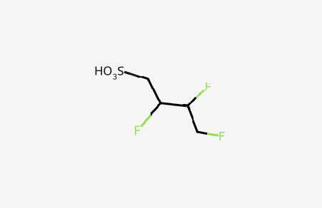 O=S(=O)(O)CC(F)C(F)CF